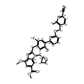 COC(=O)c1cc(OC)c2nc(Cc3cc(F)c(-c4cccc(OCc5ccc(C#N)nc5C)n4)cc3F)n(C[C@@H]3CCO3)c2c1